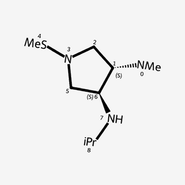 CN[C@H]1CN(SC)C[C@@H]1NC(C)C